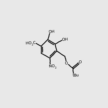 CC(C)(C)C(=O)OCc1c([N+](=O)[O-])cc(C(=O)O)c(O)c1O